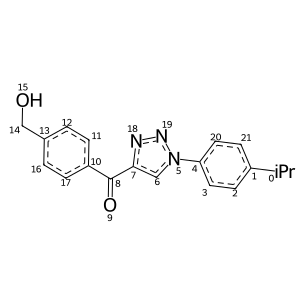 CC(C)c1ccc(-n2cc(C(=O)c3ccc(CO)cc3)nn2)cc1